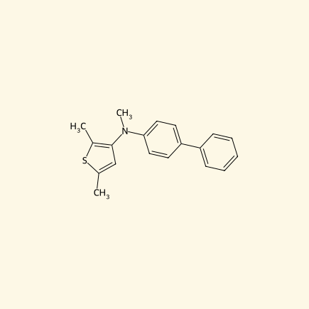 Cc1cc(N(C)c2ccc(-c3ccccc3)cc2)c(C)s1